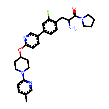 Cc1ccc(N2CCC(Oc3ccc(-c4ccc(CC(N)C(=O)N5CCCC5)c(F)c4)cn3)CC2)nc1